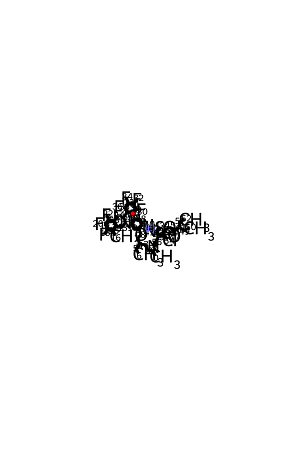 CCCCC(CC)COc1cc(N(Cc2c(C)c(F)c(F)c(F)c2F)Cc2c(F)c(F)c(F)c(F)c2F)ccc1/N=N/c1sc(OC(=O)C(CC)CC)c(Cl)c1C#N